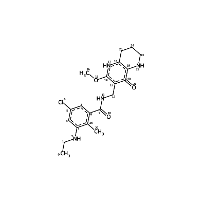 CCNc1cc(Cl)cc(C(=O)NCc2c(OC)[nH]c3c(c2=O)NCCC3)c1C